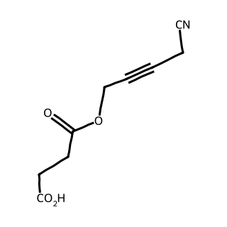 N#CCC#CCOC(=O)CCC(=O)O